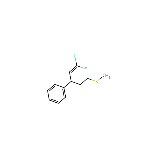 CSCCC(C=C(F)F)c1ccccc1